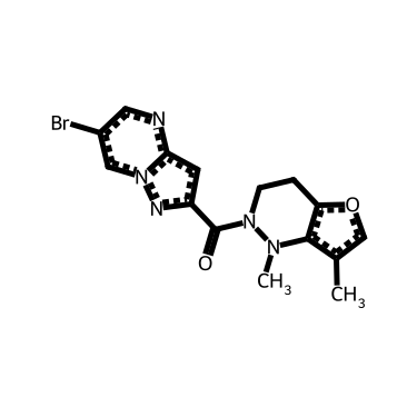 Cc1coc2c1N(C)N(C(=O)c1cc3ncc(Br)cn3n1)CC2